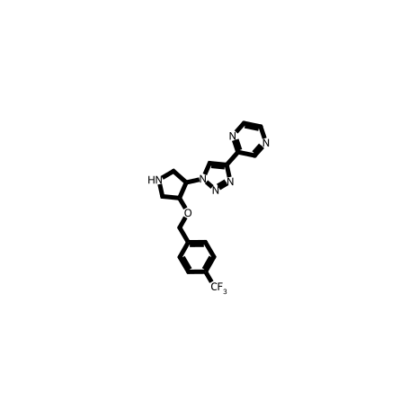 FC(F)(F)c1ccc(COC2CNCC2n2cc(-c3cnccn3)nn2)cc1